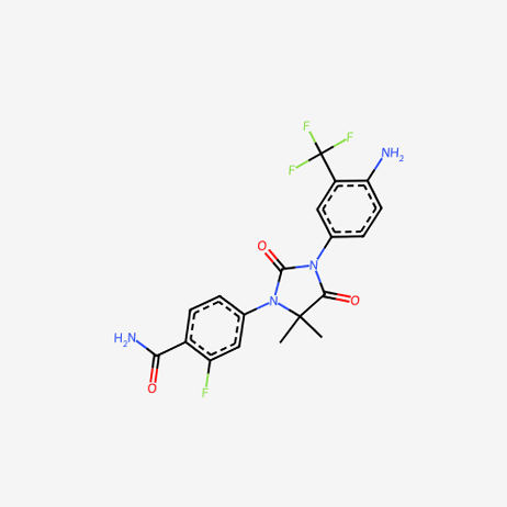 CC1(C)C(=O)N(c2ccc(N)c(C(F)(F)F)c2)C(=O)N1c1ccc(C(N)=O)c(F)c1